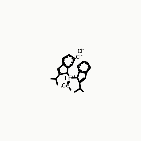 CC(C)C1=Cc2ccccc2[CH]1[Hf+2]([CH]1C(C(C)C)=Cc2ccccc21)=[Ge]([CH3])[CH3].[Cl-].[Cl-]